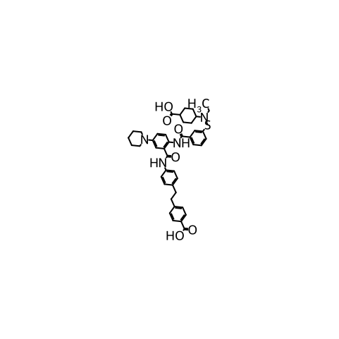 CCN(Sc1cccc(C(=O)Nc2ccc(N3CCCCC3)cc2C(=O)Nc2ccc(CCc3ccc(C(=O)O)cc3)cc2)c1)C1CCC(C(=O)O)CC1